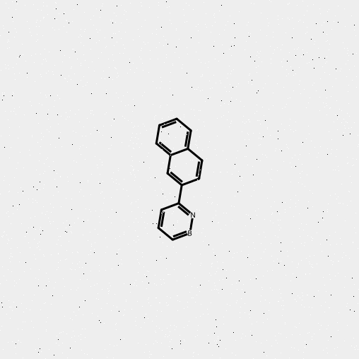 b1cccc(-c2ccc3ccccc3c2)n1